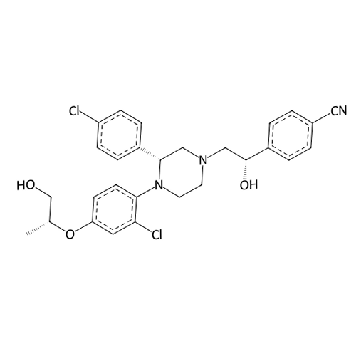 C[C@H](CO)Oc1ccc(N2CCN(C[C@@H](O)c3ccc(C#N)cc3)C[C@H]2c2ccc(Cl)cc2)c(Cl)c1